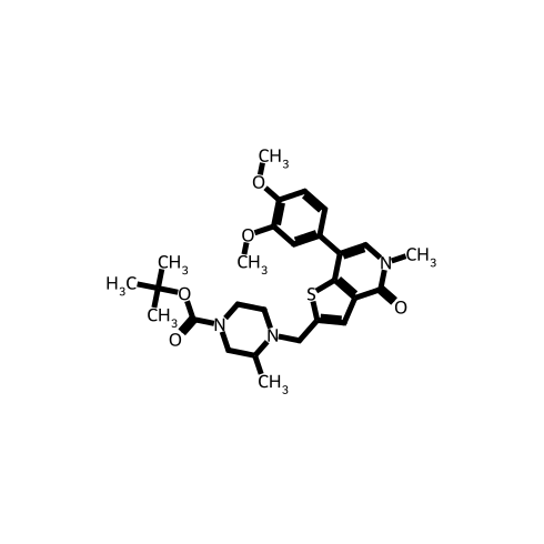 COc1ccc(-c2cn(C)c(=O)c3cc(CN4CCN(C(=O)OC(C)(C)C)CC4C)sc23)cc1OC